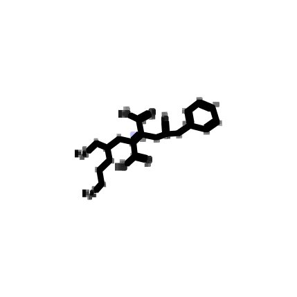 CCCCC(CC)C/C(C(=O)O)=C(/CC(=O)Cc1ccccc1)C(=O)O